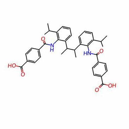 CC(C)c1cccc(C(C)C(C)c2cccc(C(C)C)c2NC(=O)c2ccc(C(=O)O)cc2)c1NC(=O)c1ccc(C(=O)O)cc1